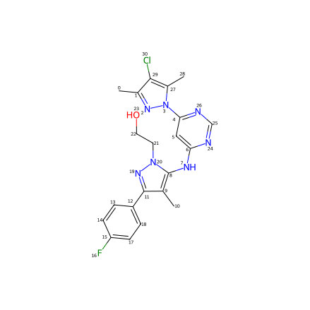 Cc1nn(-c2cc(Nc3c(C)c(-c4ccc(F)cc4)nn3CCO)ncn2)c(C)c1Cl